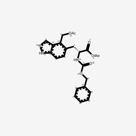 COC(=O)[C@@H](Cc1ccc2[nH]ncc2c1COC(C)=O)NC(=O)OCc1ccccc1